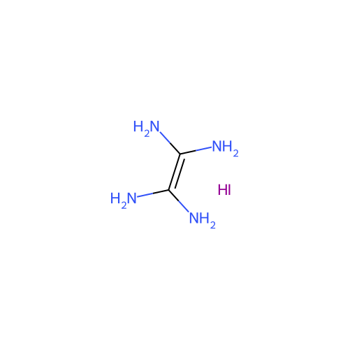 I.NC(N)=C(N)N